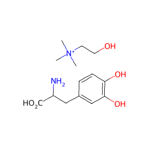 C[N+](C)(C)CCO.NC(Cc1ccc(O)c(O)c1)C(=O)O